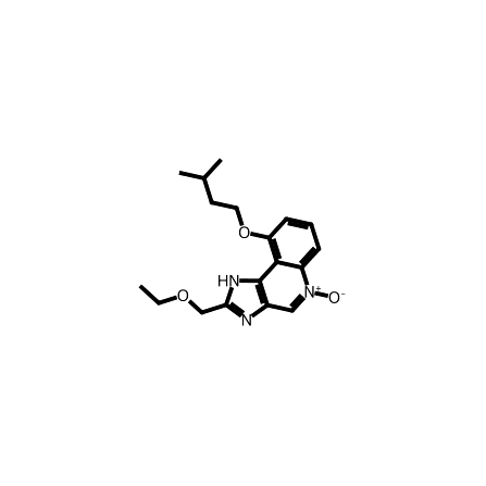 CCOCc1nc2c[n+]([O-])c3cccc(OCCC(C)C)c3c2[nH]1